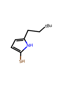 CC(C)(C)CCc1ccc(S)[nH]1